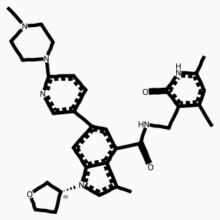 Cc1cc(C)c(CNC(=O)c2cc(-c3ccc(N4CCN(C)CC4)nc3)cc3c2c(C)cn3[C@@H]2CCOC2)c(=O)[nH]1